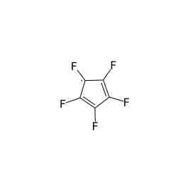 F[C]1C(F)=C(F)C(F)=C1F